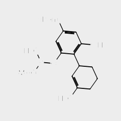 CCCCCc1cc(O)c(C2C=C(C)CCC2)c(OP(C)OC)c1